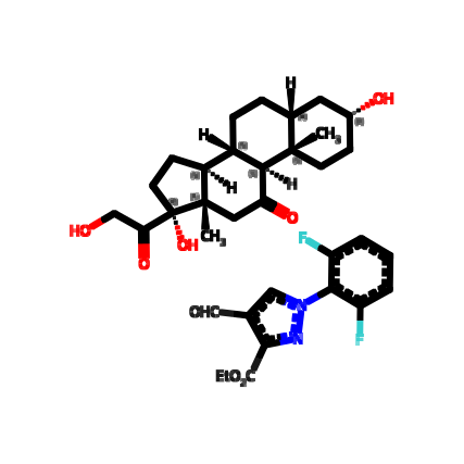 CCOC(=O)c1nn(-c2c(F)cccc2F)cc1C=O.C[C@]12CC[C@@H](O)C[C@H]1CC[C@@H]1[C@@H]2C(=O)C[C@@]2(C)[C@H]1CC[C@]2(O)C(=O)CO